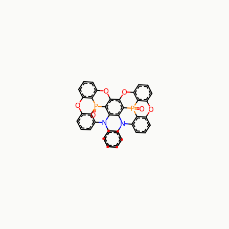 O=P12c3c4cccc3Oc3c5c6c(c(c31)N(c1ccccc1)c1cccc(c12)O4)N(c1ccccc1)c1cccc2c1P6(=O)c1c(cccc1O5)O2